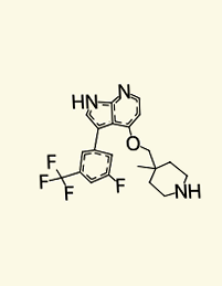 CC1(COc2ccnc3[nH]cc(-c4cc(F)cc(C(F)(F)F)c4)c23)CCNCC1